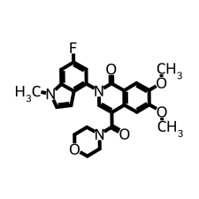 COc1cc2c(C(=O)N3CCOCC3)cn(-c3cc(F)cc4c3ccn4C)c(=O)c2cc1OC